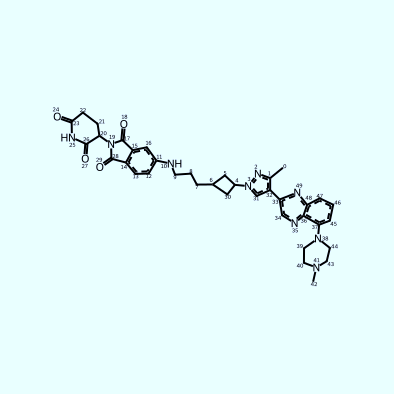 Cc1nn(C2CC(CCCNc3ccc4c(c3)C(=O)N(C3CCC(=O)NC3=O)C4=O)C2)cc1-c1cnc2c(N3CCN(C)CC3)cccc2n1